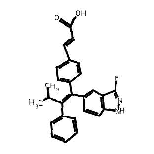 CC(C)C(=C(c1ccc(C=CC(=O)O)cc1)c1ccc2[nH]nc(F)c2c1)c1ccccc1